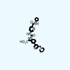 O=C(NC1CCCC1)c1ccc(NC(=O)n2nc(C(=O)O)c3cc(-c4cncc(CN5CCCCC5)c4)ccc32)cn1